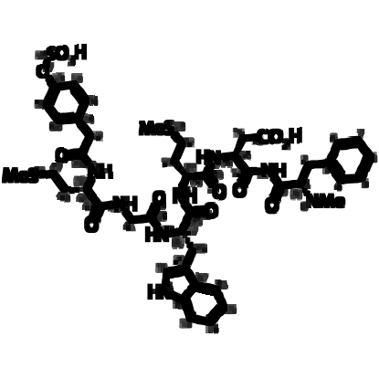 CN[C@@H](Cc1ccccc1)C(=O)NC(=O)[C@H](CC(=O)O)NC(=O)[C@H](CCSC)NC(=O)[C@H](Cc1c[nH]c2ccccc12)NC(=O)CNC(=O)[C@H](CCSC)NC(=O)Cc1ccc(OS(=O)(=O)O)cc1